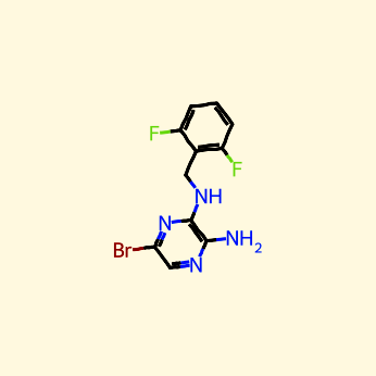 Nc1ncc(Br)nc1NCc1c(F)cccc1F